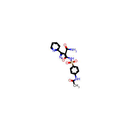 CC(=O)Nc1ccc(S(=O)(=O)Nc2onc(-c3ccccn3)c2C(N)=O)cc1